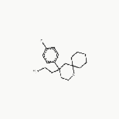 NCCC1(c2ccc(F)cc2)CCOC2(CCCCC2)C1